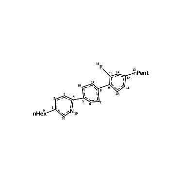 CCCCCCc1ccc(-c2ccc(-c3ccc(CCCCC)cc3F)cc2)nc1